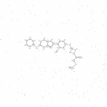 CCOC(=O)C1CN(Cc2ccc(-c3cc4ccc(Cc5ccccc5)cc4o3)c(F)c2)C1